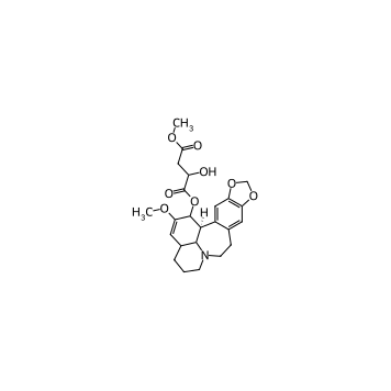 COC(=O)CC(O)C(=O)OC1C(OC)=CC2CCCN3CCc4cc5c(cc4[C@H]1C23)OCO5